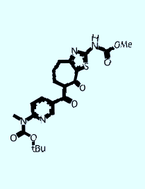 COC(=O)Nc1nc2c(s1)C(=O)C(C(=O)c1ccc(N(C)C(=O)OC(C)(C)C)nc1)CCC2